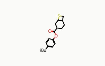 CCC(C)c1ccc(OC(=O)C2CCC3CSC3C2)cc1